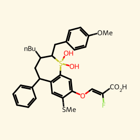 CCCCC1CC(c2ccccc2)c2cc(SC)c(O/C=C(\F)C(=O)O)cc2S(O)(O)C1Cc1ccc(OC)cc1